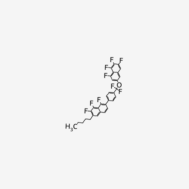 CCCCCc1cc2ccc(-c3ccc(C(F)(F)Oc4cc(F)c5c(F)c(F)c(F)cc5c4)cc3)c(F)c2c(F)c1F